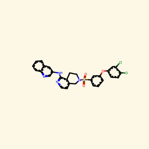 O=S(=O)(c1cccc(Oc2ccc(Cl)c(Cl)c2)c1)N1CCc2c(ccnc2Nc2cnc3ccccc3c2)C1